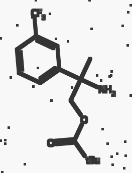 CC(C)(C)C(=O)OCC(C)(N)c1cccc(C(F)(F)F)c1